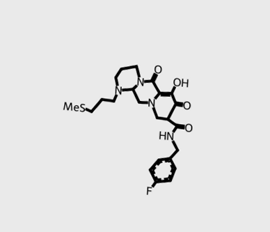 CSCCCN1CCCN2C(=O)C3=C(O)C(=O)C(C(=O)NCc4ccc(F)cc4)CN3CC12